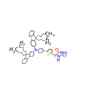 CCCCC1(CCCC)c2ccccc2-c2ccc(N(c3ccc(-c4ccc(/C=C5/NC(=O)NC5=O)s4)cc3)c3ccc4c(c3)C(CCCC)(CCCC)c3ccccc3-4)cc21